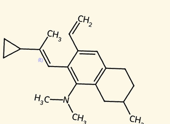 C=Cc1cc2c(c(N(C)C)c1/C=C(\C)C1CC1)CC(C)CC2